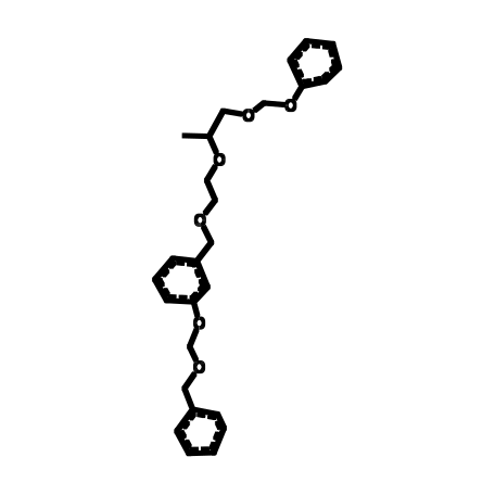 CC(COCOc1ccccc1)OCCOCc1cccc(OCOCc2ccccc2)c1